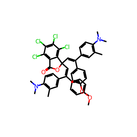 COc1ccc(C(=CC2(C=C(c3ccc(OC)cc3)c3ccc(N(C)C)c(C)c3)OC(=O)c3c(Cl)c(Cl)c(Cl)c(Cl)c32)c2ccc(N(C)C)c(C)c2)cc1